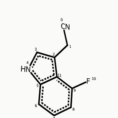 N#CCc1c[nH]c2cccc(F)c12